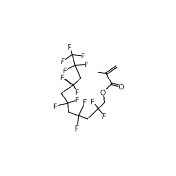 C=C(C)C(=O)OCC(F)(F)CC(F)(F)CC(F)(F)CC(F)(F)CC(F)(F)C(F)(F)F